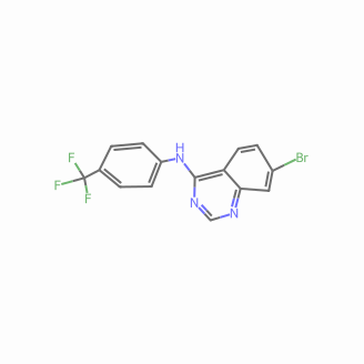 FC(F)(F)c1ccc(Nc2ncnc3cc(Br)ccc23)cc1